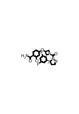 NC(=O)c1ccc(OC2CN(C(=O)N3N=CC[C@H]3c3cc(F)cc(F)c3)C2)cc1Cl